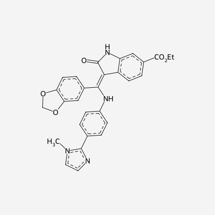 CCOC(=O)c1ccc2c(c1)NC(=O)C2=C(Nc1ccc(-c2nccn2C)cc1)c1ccc2c(c1)OCO2